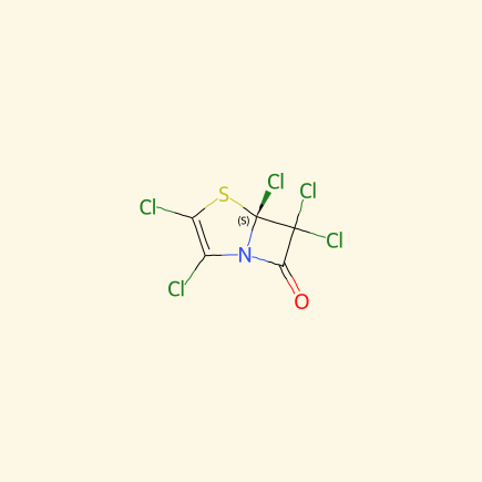 O=C1N2C(Cl)=C(Cl)S[C@]2(Cl)C1(Cl)Cl